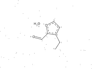 CCc1ccoc1C=O.O